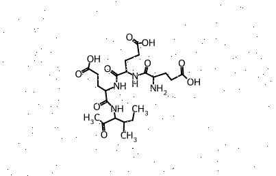 CCC(C)C(NC(=O)C(CCC(=O)O)NC(=O)C(CCC(=O)O)NC(=O)C(N)CCC(=O)O)C(C)=O